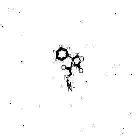 [N-]=[N+]=NCC(=O)N1C(=O)OC[C@@H]1c1ccccc1